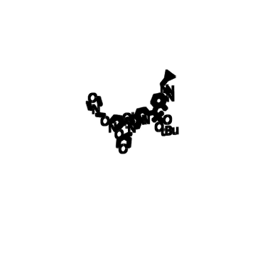 Cc1ccc(C(c2ccc3c(nnn3CC3CC3)c2C)C(C)(C)C(=O)OC(C)(C)C)nc1CN1CC2(CCOCC2)Oc2nc(OCCN3CCOCC3)ccc2S1(O)O